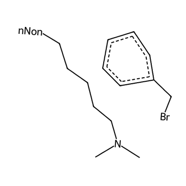 BrCc1ccccc1.CCCCCCCCCCCCCCN(C)C